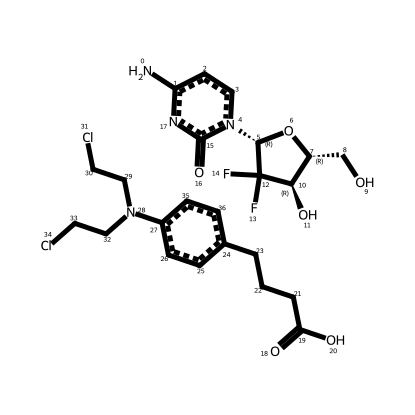 Nc1ccn([C@@H]2O[C@H](CO)[C@@H](O)C2(F)F)c(=O)n1.O=C(O)CCCc1ccc(N(CCCl)CCCl)cc1